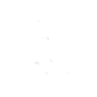 C=CC(=O)Nc1cccc(Sc2nc(Nc3ccccc3)ncc2Cl)c1